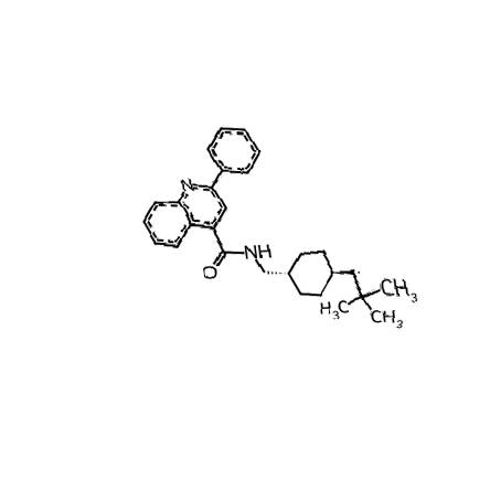 CC(C)(C)[CH][C@H]1CC[C@H](CNC(=O)c2cc(-c3ccccc3)nc3ccccc23)CC1